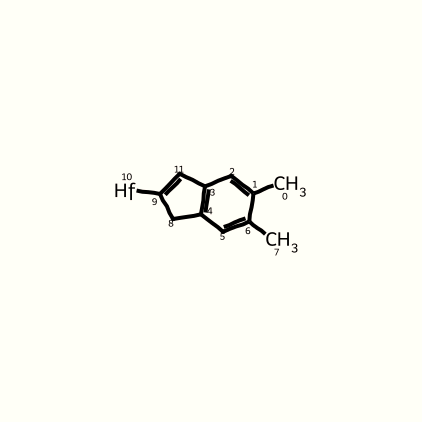 Cc1cc2c(cc1C)C[C]([Hf])=C2